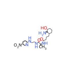 C[C@H](NC(=O)CCCC1CCCC(O)[C@@H]1N)C(=O)NCCNc1ccc([N+](=O)[O-])cn1